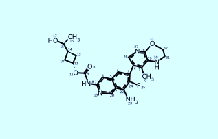 Cc1c(-c2cc3cc(NC(=O)O[C@H]4C[C@H]([C@H](C)O)C4)ncc3c(N)c2F)cnc2c1NCCO2